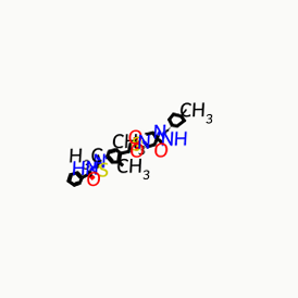 Cc1cc(N(C)C(=S)NC(=O)c2ccccc2)cc(C)c1CCS(=O)(=O)N1CCC2(CC1)N=C([C@H]1CC[C@H](C)CC1)NC2=O